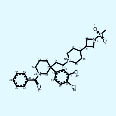 CS(=O)(=O)N1CC(C2CCN(CCC3(c4ccc(Cl)c(Cl)c4)CCCN(C(=O)c4ccccc4)C3)CC2)C1